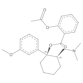 COc1cccc([C@@]2(OC(=O)c3ccccc3OC(C)=O)CCCC[C@@H]2CN(C)C)c1